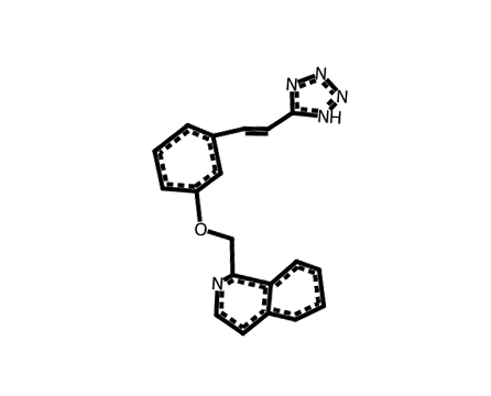 C(=Cc1nnn[nH]1)c1cccc(OCc2nccc3ccccc23)c1